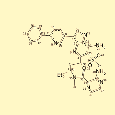 CC[C@H](CCc1nc2c(-c3ccc(-c4ccccc4)nc3)cnn2c(N)c1S(C)(=O)=O)N(C)C(=O)c1nccnc1N